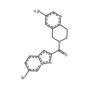 Bc1cnc2c(c1)CN(C(=O)c1cc3ccc(Br)cn3n1)CC2